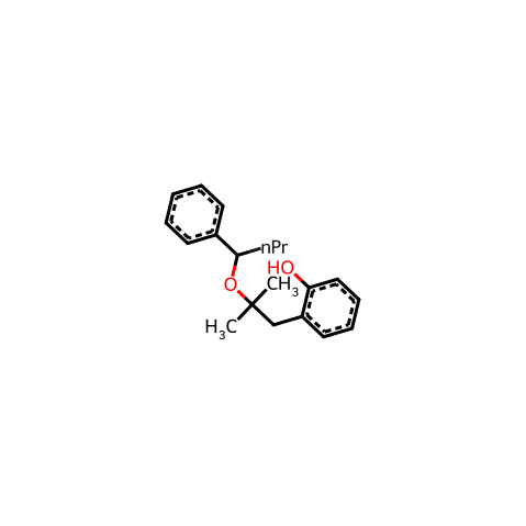 CCCC(OC(C)(C)Cc1ccccc1O)c1ccccc1